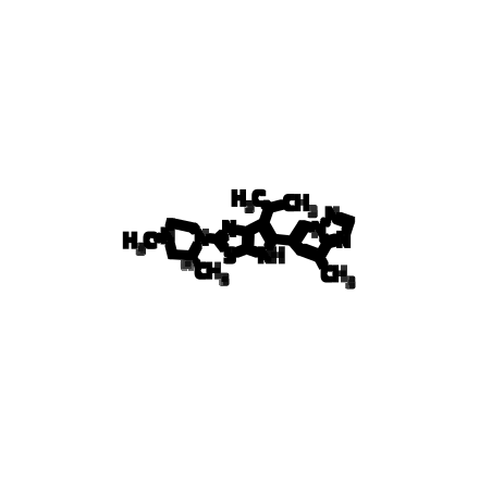 Cc1cc(-c2[nH]c3sc(N4CCN(C)C[C@H]4C)nc3c2C(C)C)cn2ncnc12